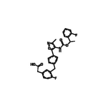 Cc1noc(-c2ccc(Cc3cc(CC(=O)O)ccc3F)cc2)c1NC(=O)OC(C)c1ccccc1F